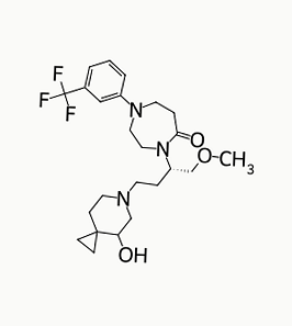 COC[C@H](CCN1CCC2(CC2)C(O)C1)N1CCN(c2cccc(C(F)(F)F)c2)CCC1=O